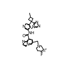 CC1CC(c2cncc(NC(=O)c3cc(CN4CC[C@H](F)[C@H](C)C4)cn4ccnc34)c2)(c2nncn2C)C1